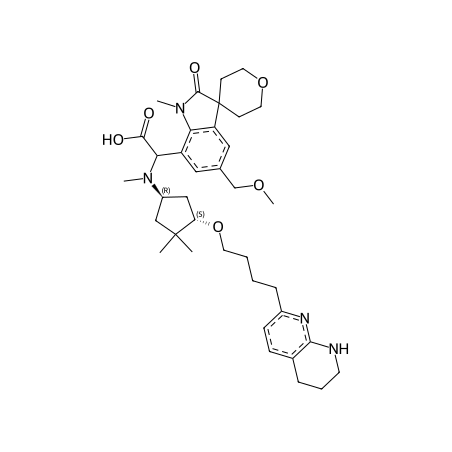 COCc1cc(C(C(=O)O)N(C)[C@H]2C[C@H](OCCCCc3ccc4c(n3)NCCC4)C(C)(C)C2)c2c(c1)C1(CCOCC1)C(=O)N2C